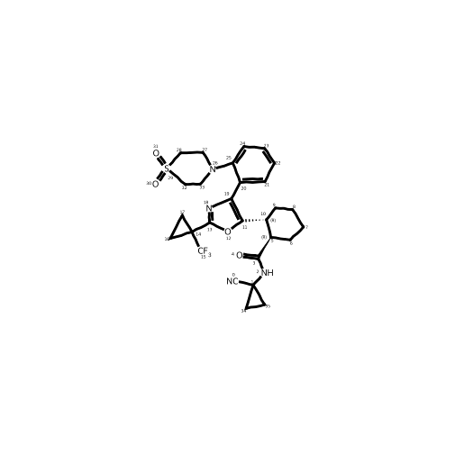 N#CC1(NC(=O)[C@@H]2CCCC[C@H]2c2oc(C3(C(F)(F)F)CC3)nc2-c2ccccc2N2CCS(=O)(=O)CC2)CC1